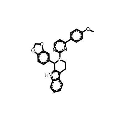 COc1ccc(-c2ccnc(N3CCc4c([nH]c5ccccc45)C3c3ccc4c(c3)OCO4)n2)cc1